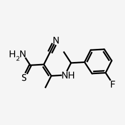 CC(NC(C)c1cccc(F)c1)=C(C#N)C(N)=S